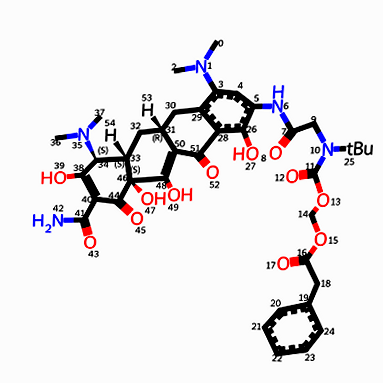 CN(C)c1cc(NC(=O)CN(C(=O)OCOC(=O)Cc2ccccc2)C(C)(C)C)c(O)c2c1C[C@H]1C[C@H]3[C@H](N(C)C)C(O)=C(C(N)=O)C(=O)[C@@]3(O)C(O)=C1C2=O